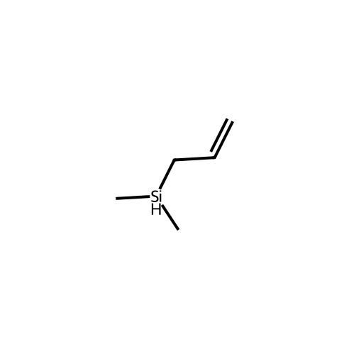 C=CC[SiH](C)C